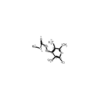 Cc1nc(Cl)c([N+](=O)[O-])c(NNC(=O)OC(C)(C)C)c1C